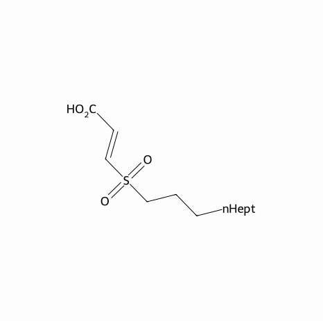 CCCCCCCCCCS(=O)(=O)/C=C/C(=O)O